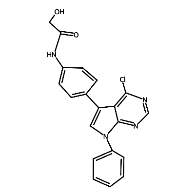 O=C(CO)Nc1ccc(-c2cn(-c3ccccc3)c3ncnc(Cl)c23)cc1